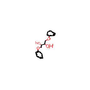 OC(COc1ccccc1)C(O)COc1ccccc1